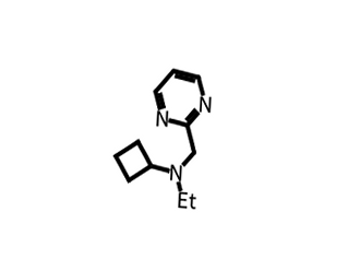 CCN(Cc1ncccn1)C1CCC1